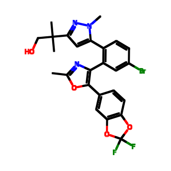 Cc1nc(-c2cc(Br)ccc2-c2cc(C(C)(C)CO)nn2C)c(-c2ccc3c(c2)OC(F)(F)O3)o1